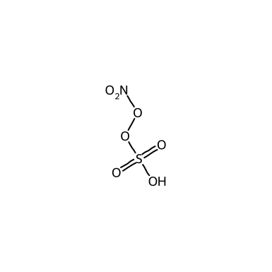 O=[N+]([O-])OOS(=O)(=O)O